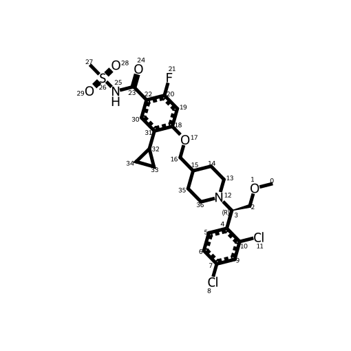 COC[C@@H](c1ccc(Cl)cc1Cl)N1CCC(COc2cc(F)c(C(=O)NS(C)(=O)=O)cc2C2CC2)CC1